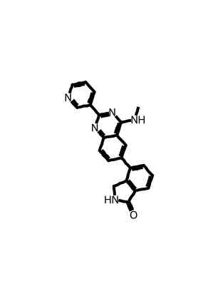 CNc1nc(-c2cccnc2)nc2ccc(-c3cccc4c3CNC4=O)cc12